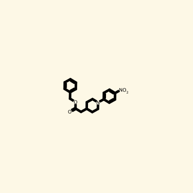 O=C(CC1CCN(c2ccc([N+](=O)[O-])cc2)CC1)OCc1ccccc1